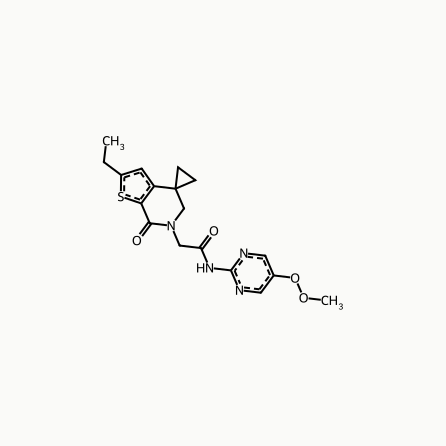 CCc1cc2c(s1)C(=O)N(CC(=O)Nc1ncc(OOC)cn1)CC21CC1